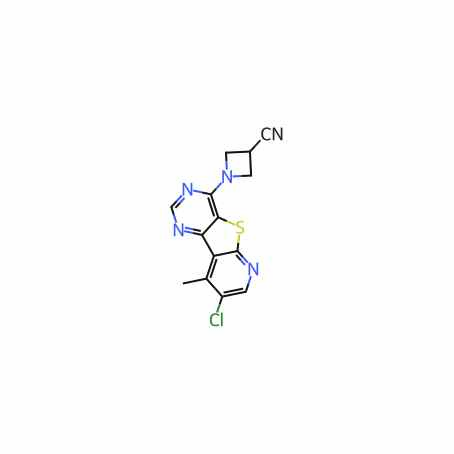 Cc1c(Cl)cnc2sc3c(N4CC(C#N)C4)ncnc3c12